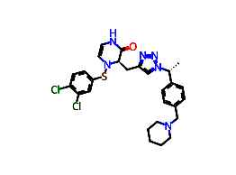 C[C@H](c1ccc(CN2CCCCC2)cc1)n1cc(C[C@@H]2C(=O)NC=CN2Sc2ccc(Cl)c(Cl)c2)nn1